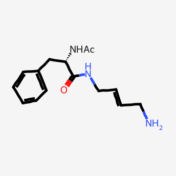 CC(=O)N[C@@H](Cc1ccccc1)C(=O)NC/C=C/CN